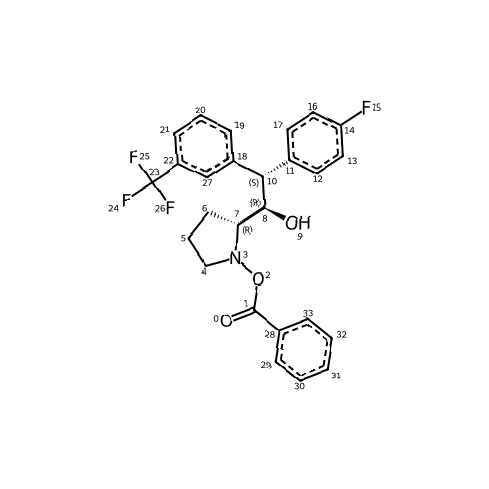 O=C(ON1CCC[C@@H]1[C@H](O)[C@@H](c1ccc(F)cc1)c1cccc(C(F)(F)F)c1)c1ccccc1